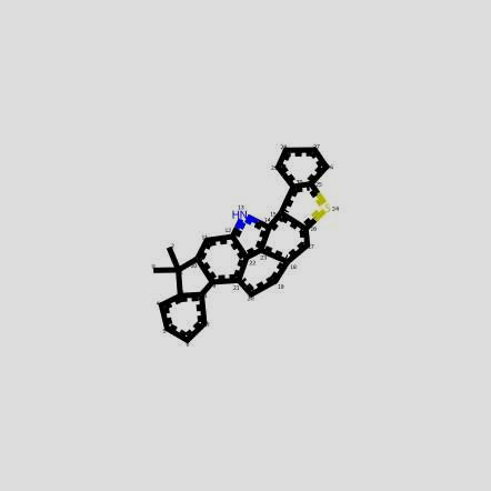 CC1(C)c2ccccc2-c2c1cc1[nH]c3c4c(cc5ccc2c1c53)sc1ccccc14